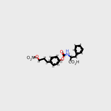 O=C(NC(Cc1ccccc1)C(=O)O)Oc1ccc(CCCO[N+](=O)[O-])cc1